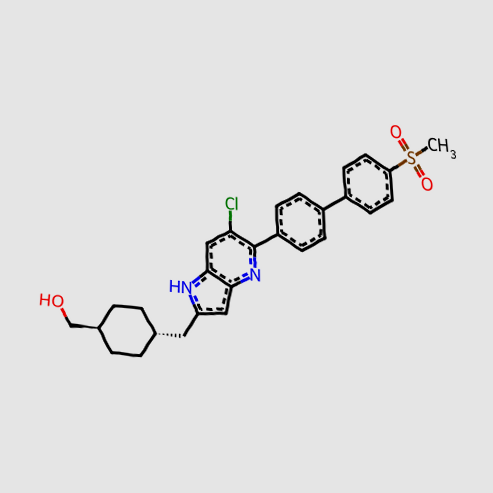 CS(=O)(=O)c1ccc(-c2ccc(-c3nc4cc(C[C@H]5CC[C@H](CO)CC5)[nH]c4cc3Cl)cc2)cc1